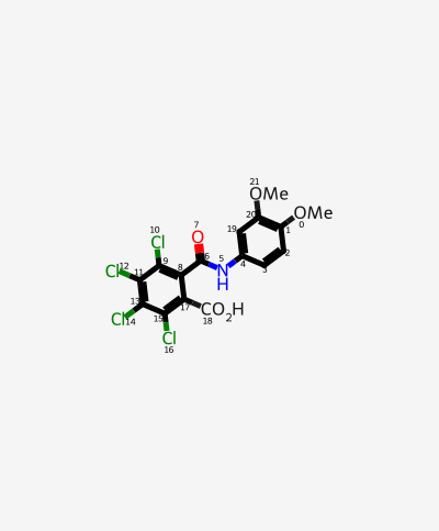 COc1ccc(NC(=O)c2c(Cl)c(Cl)c(Cl)c(Cl)c2C(=O)O)cc1OC